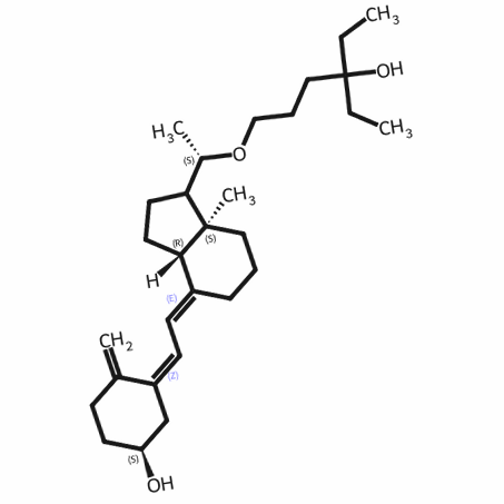 C=C1CC[C@H](O)C/C1=C/C=C1\CCC[C@]2(C)C([C@H](C)OCCCC(O)(CC)CC)CC[C@@H]12